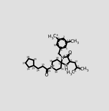 Cc1cc(C)cc(CN2C(=O)C(CC(C)C)NC23CCN(C(=O)CCC2CCCC2)CC3)c1